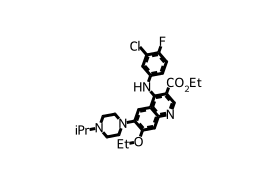 CCOC(=O)c1cnc2cc(OCC)c(N3CCN(C(C)C)CC3)cc2c1Nc1ccc(F)c(Cl)c1